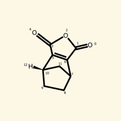 O=C1OC(=O)C2=C1C1CC[C@H]2C1